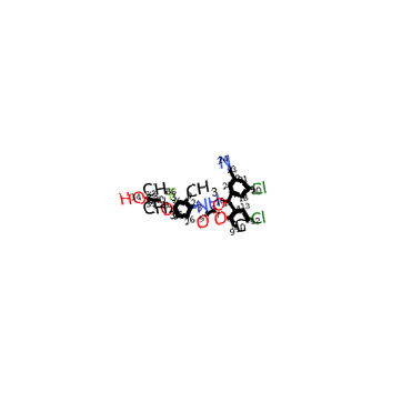 Cc1c(NC(=O)COc2ccc(Cl)cc2C(=O)c2cc(Cl)cc(C#N)c2)ccc(OCC(C)(C)O)c1F